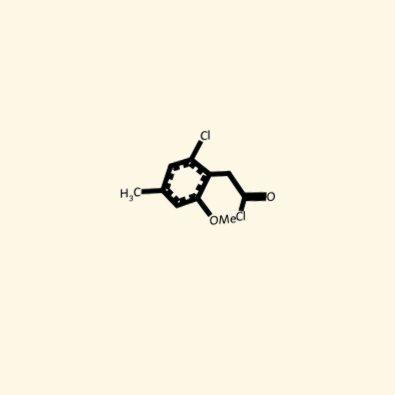 COc1cc(C)cc(Cl)c1CC(=O)Cl